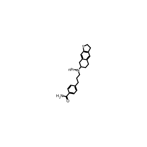 CCCN(CCCc1ccc(C(N)=O)cc1)C1CCc2cc3c(cc2C1)SCC3